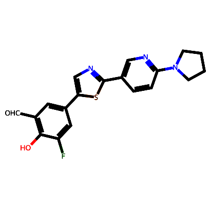 O=Cc1cc(-c2cnc(-c3ccc(N4CCCC4)nc3)s2)cc(F)c1O